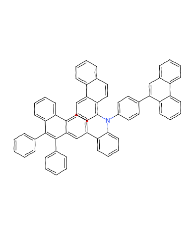 c1ccc(-c2c(-c3ccccc3)c3cc(-c4ccccc4N(c4ccc(-c5cc6ccccc6c6ccccc56)cc4)c4cccc5c4ccc4ccccc45)ccc3c3ccccc23)cc1